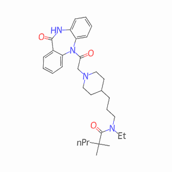 CCCC(C)(C)C(=O)N(CC)CCCC1CCN(CC(=O)N2c3ccccc3NC(=O)c3ccccc32)CC1